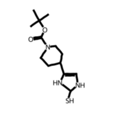 CC(C)(C)OC(=O)N1CCC(C2=CNC(S)N2)CC1